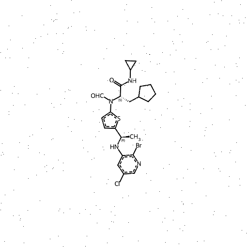 C[C@@H](Nc1cc(Cl)cnc1Br)c1ccc(N(C=O)[C@@H](CC2CCCC2)C(=O)NC2CC2)s1